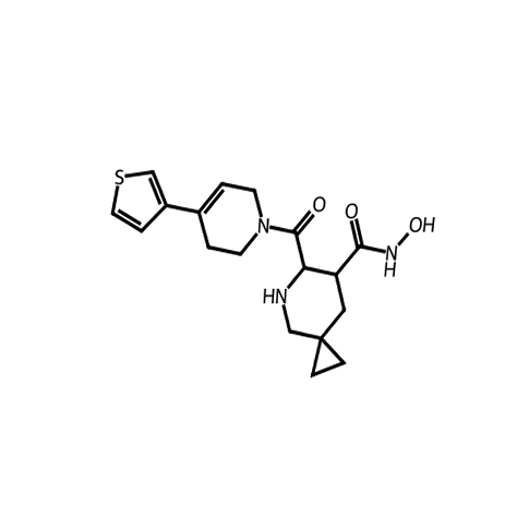 O=C(NO)C1CC2(CC2)CNC1C(=O)N1CC=C(c2ccsc2)CC1